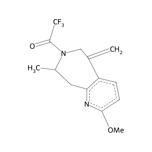 C=C1CN(C(=O)C(F)(F)F)C(C)Cc2nc(OC)ccc21